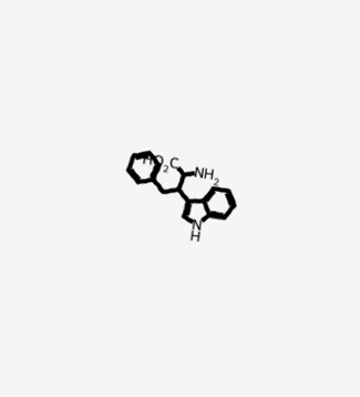 NC(C(=O)O)C(Cc1ccccc1)c1c[nH]c2ccccc12